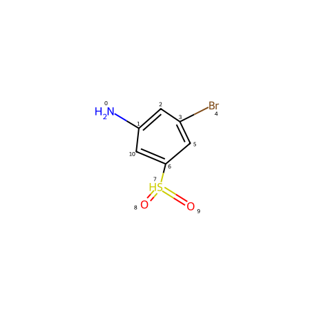 Nc1cc(Br)cc([SH](=O)=O)c1